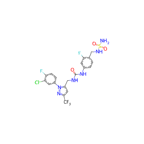 NS(=O)(=O)NCc1ccc(NC(=O)NCc2cc(C(F)(F)F)nn2-c2ccc(F)c(Cl)c2)cc1F